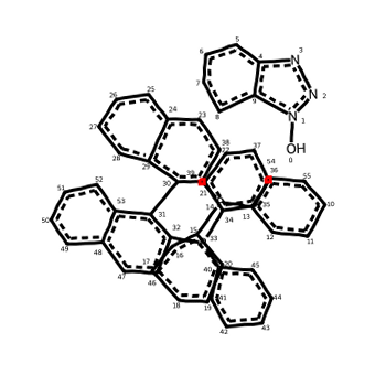 On1nnc2ccccc21.c1ccc(P(c2ccccc2)c2ccc3ccccc3c2-c2c(P(c3ccccc3)c3ccccc3)ccc3ccccc23)cc1